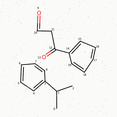 CC(C)c1ccccc1.O=CCC(=O)c1ccccc1